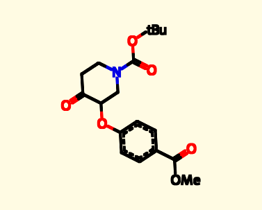 COC(=O)c1ccc(OC2CN(C(=O)OC(C)(C)C)CCC2=O)cc1